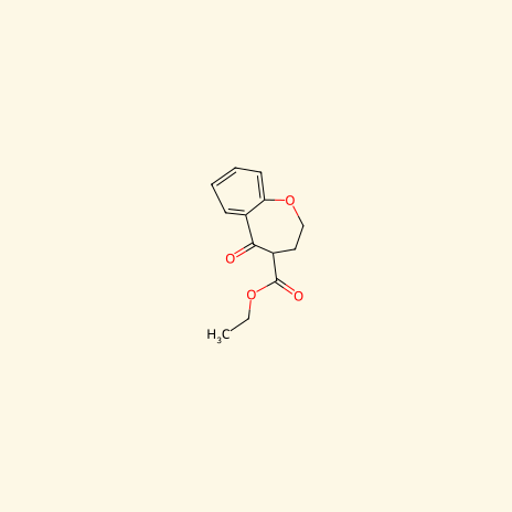 CCOC(=O)C1CCOc2ccccc2C1=O